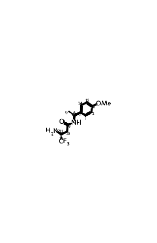 COc1ccc([C@H](C)NC(=O)C[C@H](N)C(F)(F)F)cc1